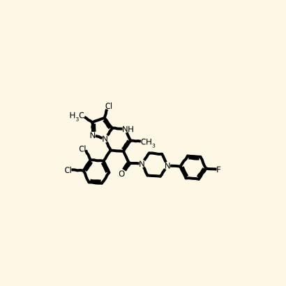 CC1=C(C(=O)N2CCN(c3ccc(F)cc3)CC2)C(c2cccc(Cl)c2Cl)n2nc(C)c(Cl)c2N1